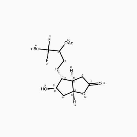 CCCCC(F)(F)C(CC[C@@H]1[C@H]2CC(=O)O[C@H]2C[C@H]1O)OC(C)=O